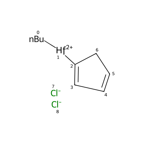 CCC[CH2][Hf+2][C]1=CC=CC1.[Cl-].[Cl-]